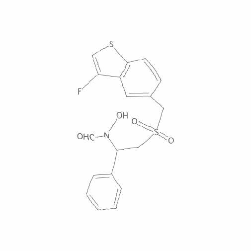 O=CN(O)C(CS(=O)(=O)Cc1ccc2scc(F)c2c1)c1ccccc1